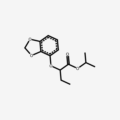 CCC(Oc1cccc2c1OCO2)C(=O)OC(C)C